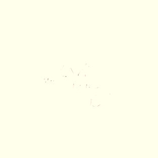 COc1ccc2c(c1)C13CCN(CC4CC4)C(C2)C12CCC1C3[C@@H](CN1C(=O)C1C=CC=CC1C)O2